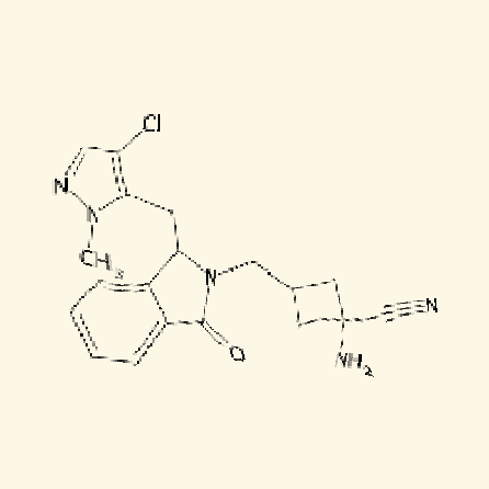 Cn1ncc(Cl)c1CC1c2ccccc2C(=O)N1CC1CC(N)(C#N)C1